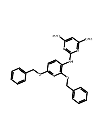 COc1cc(OC)nc(Nc2ccc(OCc3ccccc3)nc2OCc2ccccc2)n1